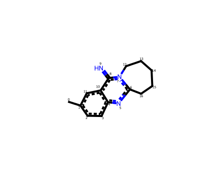 Cc1ccc2nc3n(c(=N)c2c1)CCCCC3